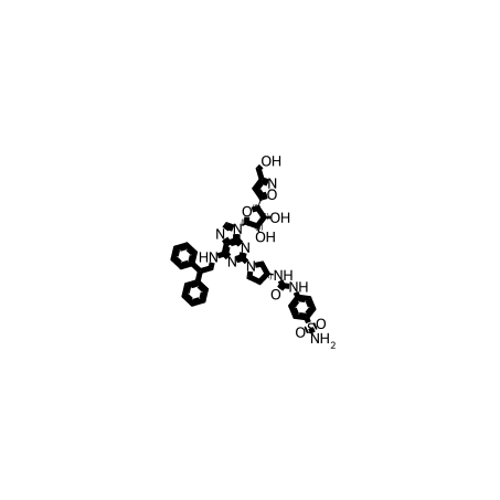 NS(=O)(=O)c1ccc(NC(=O)N[C@@H]2CCN(c3nc(NCC(c4ccccc4)c4ccccc4)c4ncn([C@@H]5O[C@H](c6cc(CO)no6)[C@@H](O)[C@@H]5O)c4n3)C2)cc1